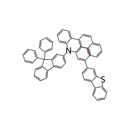 c1ccc(C2(c3ccccc3)c3ccccc3-c3ccc(N(c4cccc(-c5ccc6c(c5)sc5ccccc56)c4)c4ccccc4-c4ccc5ccccc5c4)cc32)cc1